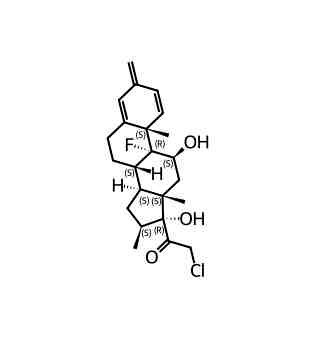 C=C1C=C[C@@]2(C)C(=C1)CC[C@H]1[C@@H]3C[C@H](C)[C@](O)(C(=O)CCl)[C@@]3(C)C[C@H](O)[C@@]12F